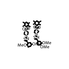 COc1ccc(-c2csc(N3CCN(S(=O)(=O)c4c(C)c(C)cc(C)c4C)CC3)n2)cc1OC.COc1ccc(OC)c(-c2csc(N3CCN(S(=O)(=O)c4c(C)c(C)cc(C)c4C)CC3)n2)c1